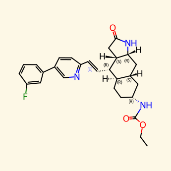 CCOC(=O)N[C@@H]1CC[C@@H]2[C@@H](C1)C[C@H]1NC(=O)C[C@H]1[C@H]2/C=C/c1ccc(-c2cccc(F)c2)cn1